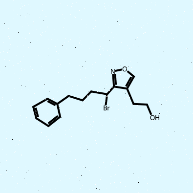 OCCc1conc1C(Br)CCCc1ccccc1